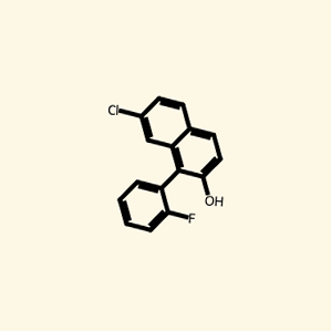 Oc1ccc2ccc(Cl)cc2c1-c1ccccc1F